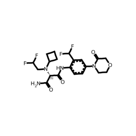 NC(=O)[C@@H](C(=O)Nc1ccc(N2CCOCC2=O)cc1C(F)F)N(CC(F)F)C1CCC1